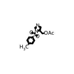 CC(=O)OCc1cncn1S(=O)(=O)c1ccc(C)cc1